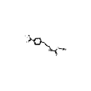 CC(C)(C)OC(=O)NCCCc1ccc(C(N)=O)cc1